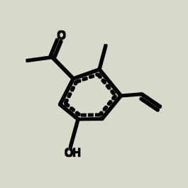 C=Cc1cc(O)cc(C(C)=O)c1C